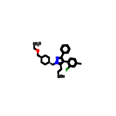 COCCc1c(-c2ccc(C)cc2F)c(-c2ccccc2)nn1C[C@H]1CC[C@H](COCC(=O)O)CC1